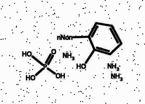 CCCCCCCCCc1ccccc1O.N.N.N.O=P(O)(O)O